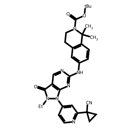 CCn1c(=O)c2cnc(Nc3ccc4c(c3)CCN(C(=O)OC(C)(C)C)C4(C)C)nc2n1-c1ccnc(C2(C#N)CC2)c1